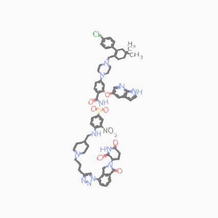 CC1(C)CCC(CN2CCN(c3ccc(C(=O)NS(=O)(=O)c4ccc(NCC5CCN(CCCc6cn(-c7cccc8c7CN(C7CCC(=O)NC7=O)C8=O)nn6)CC5)c([N+](=O)[O-])c4)c(Oc4cnc5[nH]ccc5c4)c3)CC2)=C(c2ccc(Cl)cc2)C1